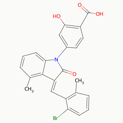 Cc1cccc(Br)c1/C=C1\C(=O)N(c2ccc(C(=O)O)c(O)c2)c2cccc(C)c21